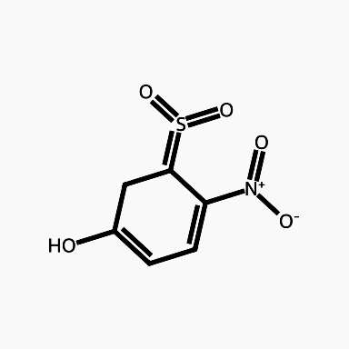 O=[N+]([O-])C1=CC=C(O)CC1=S(=O)=O